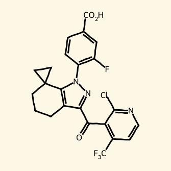 O=C(O)c1ccc(-n2nc(C(=O)c3c(C(F)(F)F)ccnc3Cl)c3c2C2(CCC3)CC2)c(F)c1